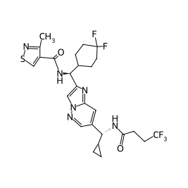 Cc1nscc1C(=O)N[C@H](c1cn2ncc([C@H](NC(=O)CCC(F)(F)F)C3CC3)cc2n1)C1CCC(F)(F)CC1